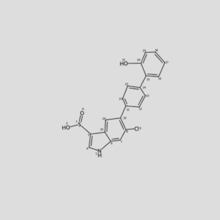 O=S(O)c1c[nH]c2cc(Cl)c(-c3ccc(-c4ccccc4O)cc3)cc12